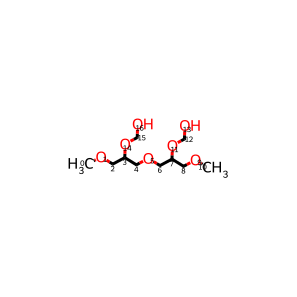 COCC(COCC(COC)OCO)OCO